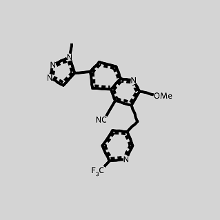 COc1nc2ccc(-c3cnnn3C)cc2c(C#N)c1Cc1ccc(C(F)(F)F)nc1